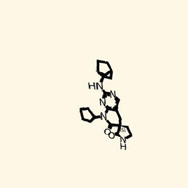 O=C1NCC[C@@]12Cc1cnc(NC3CC4CCC3C4)nc1N(C1CCCC1)C2=O